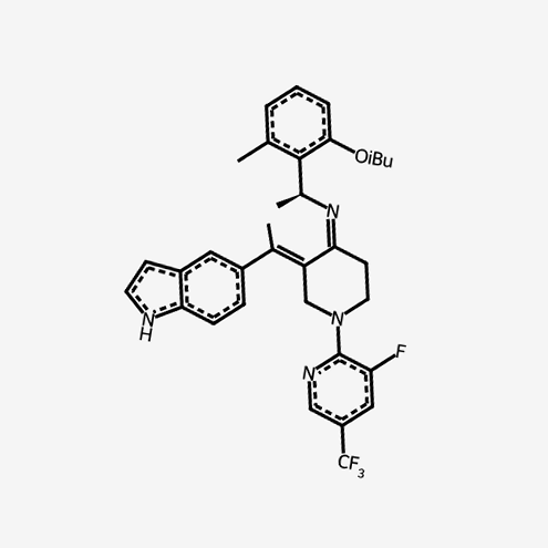 C/C(=C1/CN(c2ncc(C(F)(F)F)cc2F)CC/C1=N/[C@@H](C)c1c(C)cccc1OCC(C)C)c1ccc2[nH]ccc2c1